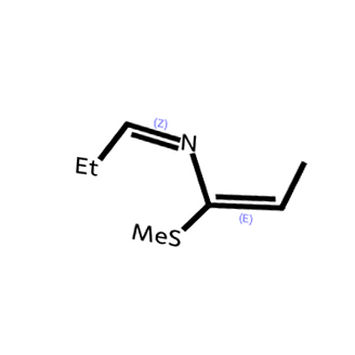 C/C=C(\N=C/CC)SC